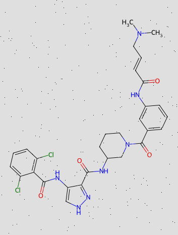 CN(C)CC=CC(=O)Nc1cccc(C(=O)N2CCCC(NC(=O)c3n[nH]cc3NC(=O)c3c(Cl)cccc3Cl)C2)c1